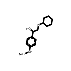 CSNc1ccc(C(O)CNC2CCCCC2)cc1